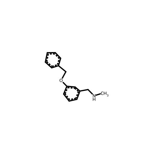 CNCc1cccc(OCc2ccccc2)c1